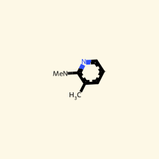 CNc1nc[c]cc1C